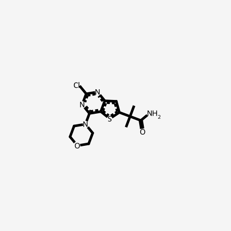 CC(C)(C(N)=O)c1cc2nc(Cl)nc(N3CCOCC3)c2s1